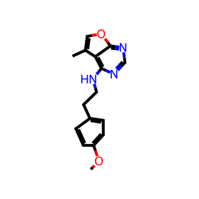 COc1ccc(CCNc2ncnc3occ(C)c23)cc1